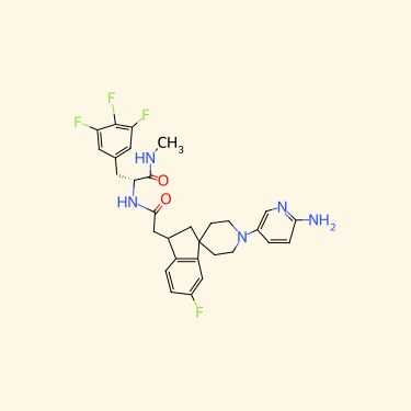 CNC(=O)[C@@H](Cc1cc(F)c(F)c(F)c1)NC(=O)CC1CC2(CCN(c3ccc(N)nc3)CC2)c2cc(F)ccc21